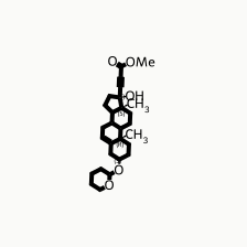 COC(=O)C#C[C@]1(O)CCC2C3CC=C4C[C@@H](OC5CCCCO5)CC[C@]4(C)C3CC[C@@]21C